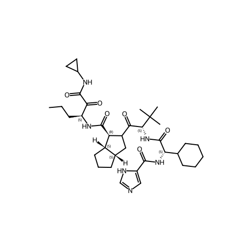 CCC[C@H](NC(=O)[C@H]1C(C(=O)[C@@H](NC(=O)[C@@H](NC(=O)c2cnc[nH]2)C2CCCCC2)C(C)(C)C)C[C@@H]2CCC[C@@H]21)C(=O)C(=O)NC1CC1